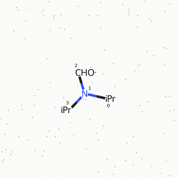 CC(C)N([C]=O)C(C)C